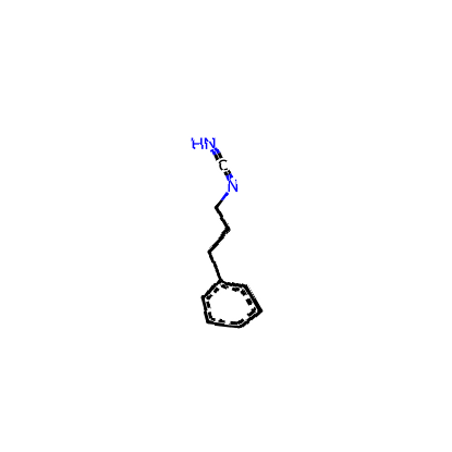 N=C=NCCCc1ccccc1